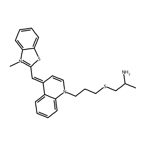 CC(N)CSCCCN1C=CC(=Cc2sc3ccccc3[n+]2C)c2ccccc21